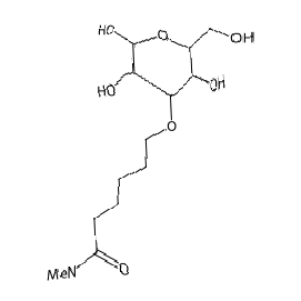 CNC(=O)CCCCCOC1C(O)C(O)OC(CO)C1O